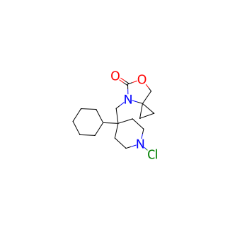 O=C1OCC2(CC2)N1CC1(C2CCCCC2)CCN(Cl)CC1